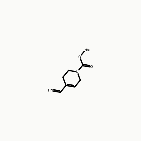 CC(C)(C)OC(=O)N1CC=C(C=N)CC1